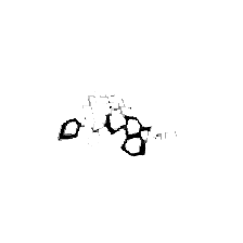 Br.CCN1C[C@H](C(=O)NC2CCCC2)CC2c3cccc4c3c(cn4C(C)C)C[C@H]21